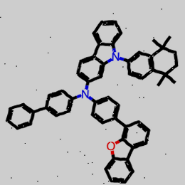 CC1(C)CCC(C)(C)c2cc(-n3c4ccccc4c4ccc(N(c5ccc(-c6ccccc6)cc5)c5ccc(-c6cccc7c6oc6ccccc67)cc5)cc43)ccc21